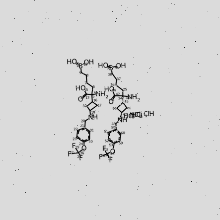 Cl.Cl.Cl.Cl.NC(CCCCB(O)O)(C(=O)O)C1CC(NCc2ccc(OC(F)(F)F)cc2)C1.NC(CCCCB(O)O)(C(=O)O)[C@H]1C[C@@H](NCc2ccc(OC(F)(F)F)cc2)C1